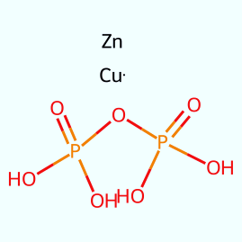 O=P(O)(O)OP(=O)(O)O.[Cu].[Zn]